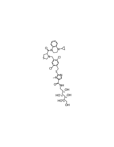 Cn1c(C(=O)NC[C@H](O)[C@@H](O)[C@H](O)[C@H](O)CO)cnc1SCc1cc(Cl)c(CN2CSCC2C(=O)N2CCN(C3CC3)c3ccccc32)cc1Cl